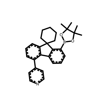 CC1(C)OB(c2cccc3c2C2(CCCCC2)c2cccc(-c4ccncc4)c2-3)OC1(C)C